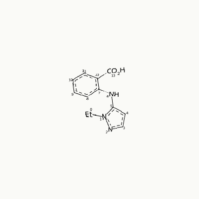 CCn1nccc1Nc1ccccc1C(=O)O